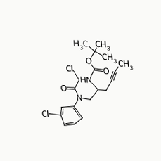 CC#CCC(CN(C(=O)CCl)c1cccc(Cl)c1)NC(=O)OC(C)(C)C